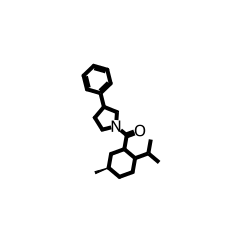 CC(C)C1CC[C@@H](C)CC1C(=O)N1CCC(c2ccccc2)C1